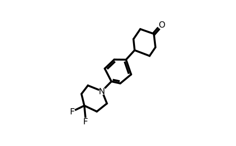 O=C1CCC(c2ccc(N3CCC(F)(F)CC3)cc2)CC1